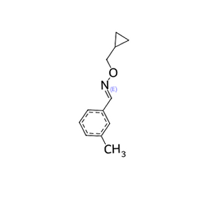 Cc1cccc(/C=N/OCC2CC2)c1